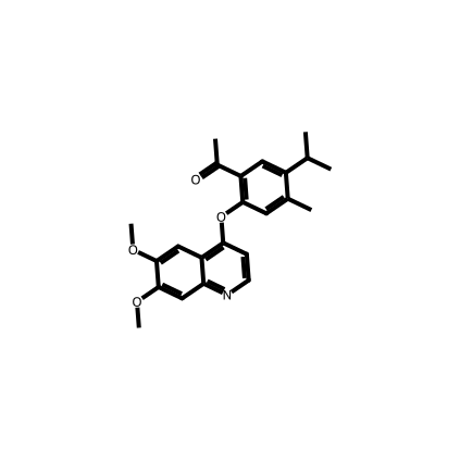 COc1cc2nccc(Oc3cc(C)c(C(C)C)cc3C(C)=O)c2cc1OC